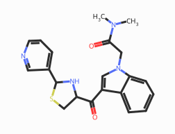 CN(C)C(=O)Cn1cc(C(=O)C2CSC(c3cccnc3)N2)c2ccccc21